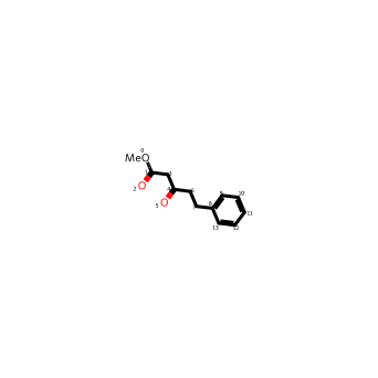 COC(=O)CC(=O)CCc1ccccc1